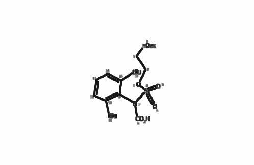 CCCCCCCCCCCCOS(=O)(=O)N(C(=O)O)c1c(C(C)(C)C)cccc1C(C)(C)C